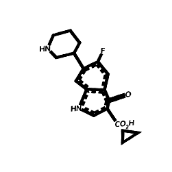 C1CC1.O=C(O)c1c[nH]c2cc(C3CCCNC3)c(F)cc2c1=O